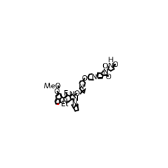 CCc1cccc2cc(OCOC)cc(-c3ncc4c(N5CC6CCC(C6)C5)nc(OCC5(CN6CCC(OC7CCN(c8ccc9c(c8)CN(C8CCC(=O)NC8=O)C9=O)CC7)CC6)CC5)nc4c3F)c12